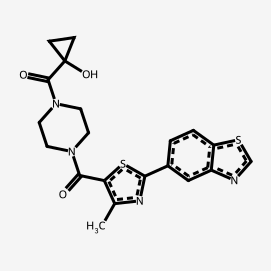 Cc1nc(-c2ccc3scnc3c2)sc1C(=O)N1CCN(C(=O)C2(O)CC2)CC1